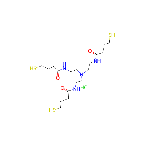 Cl.O=C(CCCS)NCCN(CCNC(=O)CCCS)CCNC(=O)CCCS